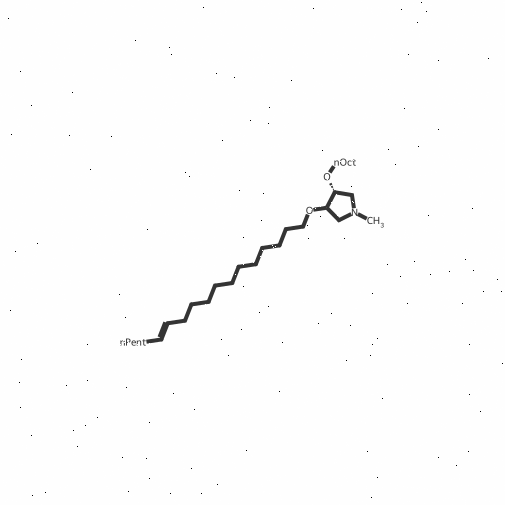 CCCCCC=CCCCCCCCCCCCOC1CN(C)C[C@H]1OCCCCCCCC